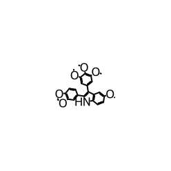 COc1ccc2[nH]c(-c3ccc4c(c3)OCO4)c(-c3cc(OC)c(OC)c(OC)c3)c2c1